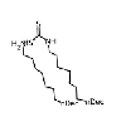 CCCCCCCCCCCCCCCCCN.CCCCCCCCCCCCCCCCCNC(=S)S